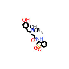 CN(C)[C@H](CCC(=O)NC1CS(=O)(=O)c2ccccc21)Cc1ccc(O)cc1